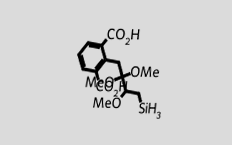 COC(C[SiH3])C(Cc1c(C(=O)O)cccc1C(=O)O)(OC)OC